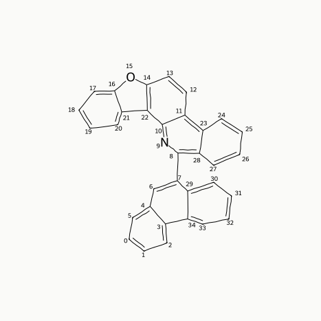 c1ccc2c(c1)cc(-c1nc3c(ccc4oc5ccccc5c43)c3ccccc13)c1ccccc12